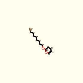 BrCCCCCCCCOC1CCC=CO1